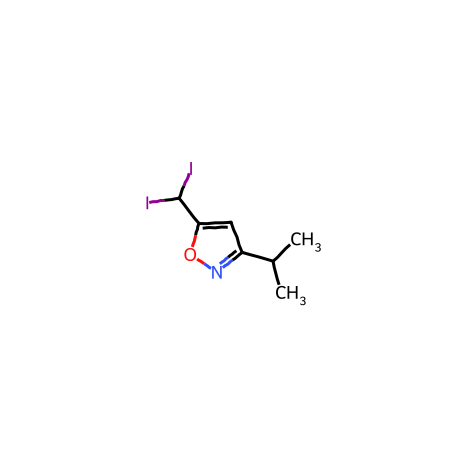 CC(C)c1cc(C(I)I)on1